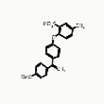 C=C(c1ccc(OC)cc1)c1ccc(Oc2ccc(C)cc2S(=O)(=O)O)cc1